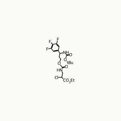 CCOC(=O)C(Cl)CNC(=O)OCCC(NC(=O)OC(C)(C)C)c1cc(F)c(F)c(F)c1